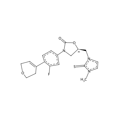 Cn1ccn(C[C@H]2CN(c3ccc(C4=CCOCC4)c(F)c3)C(=O)O2)c1=S